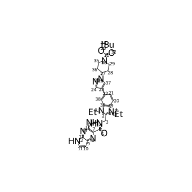 CCn1c(CNC(=O)c2nc3cc[nH]c3nc2N)[n+](CC)c2ccc(-c3cnn(C4CCN(C(=O)OC(C)(C)C)CC4)c3)cc21